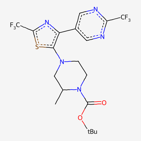 CC1CN(c2sc(C(F)(F)F)nc2-c2cnc(C(F)(F)F)nc2)CCN1C(=O)OC(C)(C)C